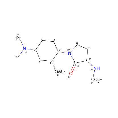 CO[C@@H]1C[C@H](N(C)C(C)C)CC[C@@H]1N1CC[C@H](NC(=O)O)C1=O